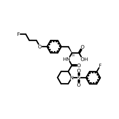 O=C(N[C@@H](Cc1ccc(OCCCF)cc1)C(=O)O)C1CCCCN1S(=O)(=O)c1cccc(F)c1